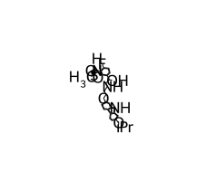 CC(C)Oc1ccc2c(c1)[nH]c1cc(OCCNCC(O)c3ccc(F)c(NS(C)(=O)=O)c3)ccc12